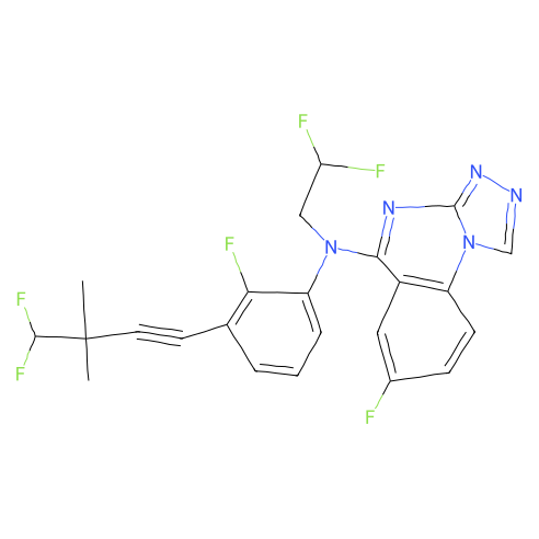 CC(C)(C#Cc1cccc(N(CC(F)F)c2nc3nncn3c3ccc(F)cc23)c1F)C(F)F